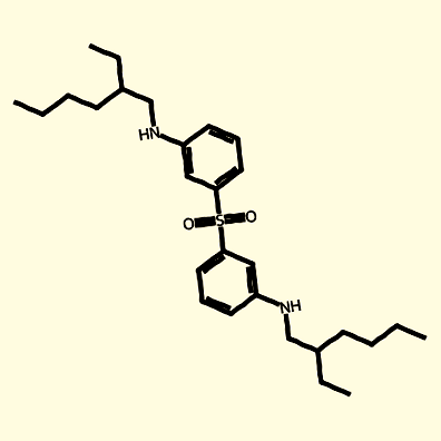 CCCCC(CC)CNc1cccc(S(=O)(=O)c2cccc(NCC(CC)CCCC)c2)c1